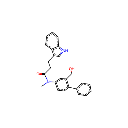 CN(C(=O)CCc1c[nH]c2ccccc12)c1ccc(-c2ccccc2)c(CO)c1